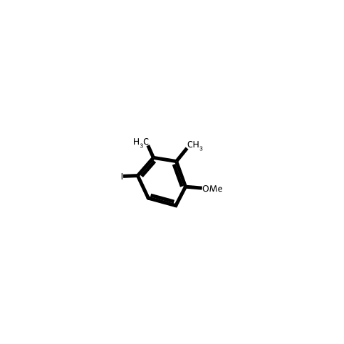 COc1ccc(I)c(C)c1C